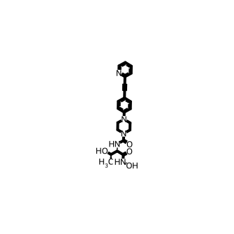 C[C@@H](O)[C@H](NC(=O)N1CCN(c2ccc(C#Cc3ccccn3)cc2)CC1)C(=O)NO